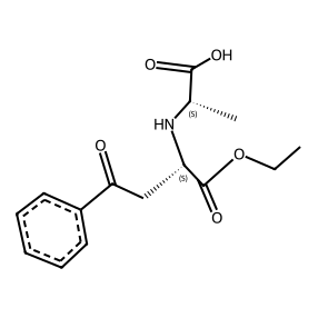 CCOC(=O)[C@H](CC(=O)c1ccccc1)N[C@@H](C)C(=O)O